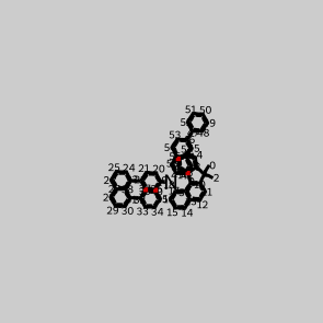 CC1(C)c2ccccc2-c2c1ccc1cccc(N(c3ccc(-c4cccc5cccc(-c6ccccc6)c45)cc3)c3ccc4cc(-c5ccccc5)ccc4c3)c21